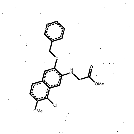 COC(=O)CNc1cc2c(Cl)c(OC)ccc2cc1OCc1ccccc1